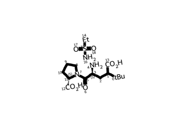 CC(C)(C)C(C[C@H](N)C(=O)N1CCC[C@H]1C(=O)O)C(=O)O.CCS(N)(=O)=O